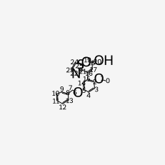 COc1ccc(OCc2ccccc2)cc1C(=CC(=O)O)c1nccs1